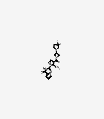 Cc1c(C(=O)N2CC(N3CCC(F)(F)C3)C2)cnn1-c1nn2cccc2c(=O)[nH]1